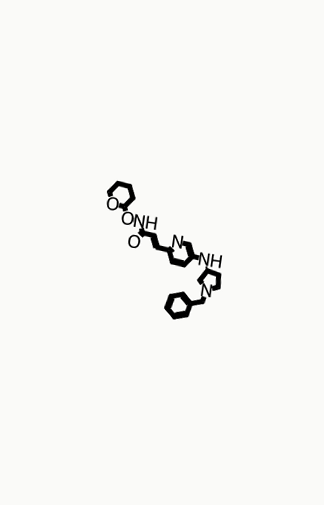 O=C(C=Cc1ccc(N[C@@H]2CCN(Cc3ccccc3)C2)cn1)NOC1CCCCO1